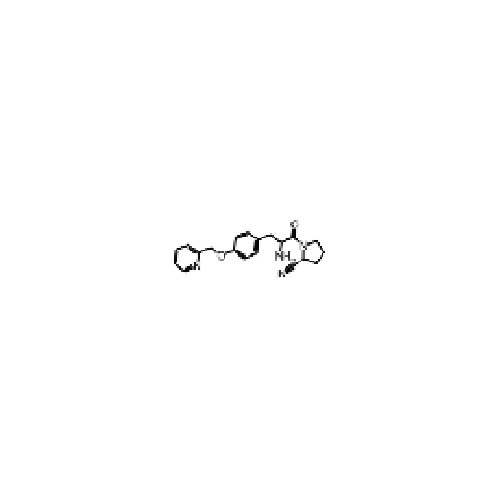 N#C[C@@H]1CCCN1C(=O)C(N)Cc1ccc(OCc2ccccn2)cc1